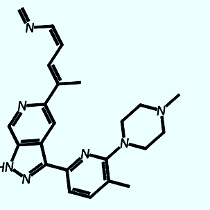 C=N/C=C\C=C(/C)c1cc2c(-c3ccc(C)c(N4CCN(C)CC4)n3)n[nH]c2cn1